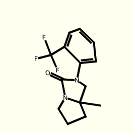 CC12CCCN1C(=O)N(c1ccccc1C(F)(F)F)C2